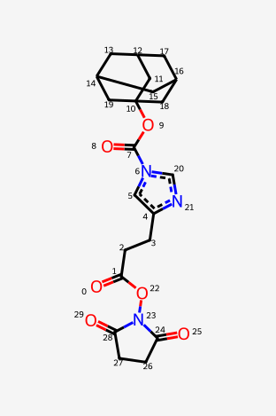 O=C(CCc1cn(C(=O)OC23CC4CC(CC(C4)C2)C3)cn1)ON1C(=O)CCC1=O